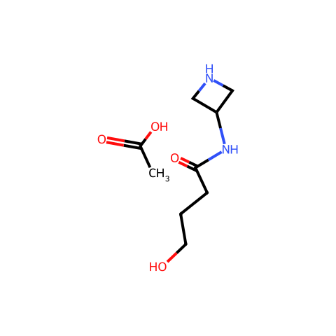 CC(=O)O.O=C(CCCO)NC1CNC1